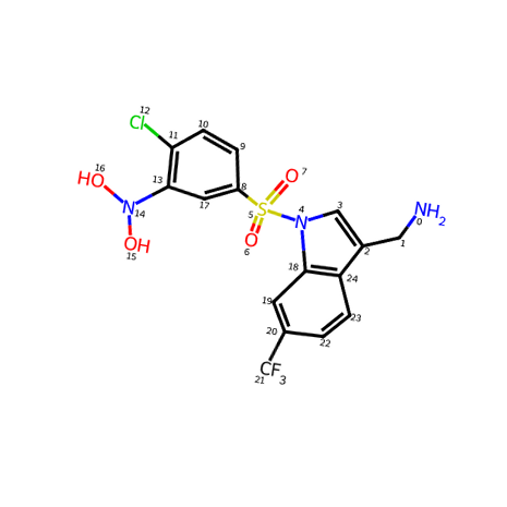 NCc1cn(S(=O)(=O)c2ccc(Cl)c(N(O)O)c2)c2cc(C(F)(F)F)ccc12